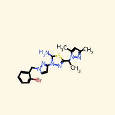 Cc1cc(C)n(C(C)C2=NN(c3ccn(Cc4ccccc4Br)n3)C(N)S2)n1